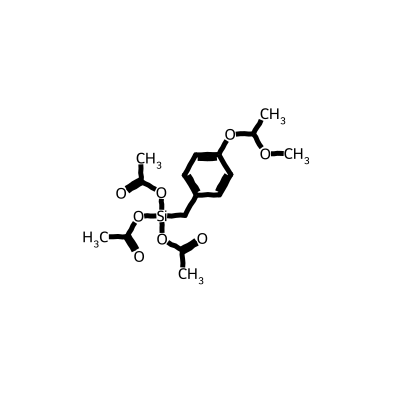 COC(C)Oc1ccc(C[Si](OC(C)=O)(OC(C)=O)OC(C)=O)cc1